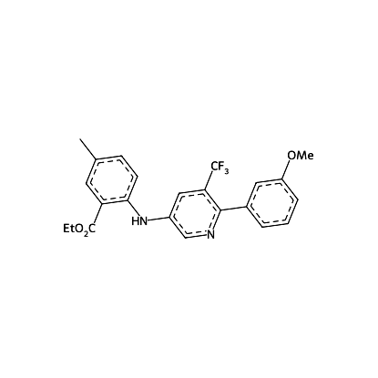 CCOC(=O)c1cc(C)ccc1Nc1cnc(-c2cccc(OC)c2)c(C(F)(F)F)c1